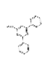 COc1cc(-c2ccccn2)nc(-c2ccccn2)n1